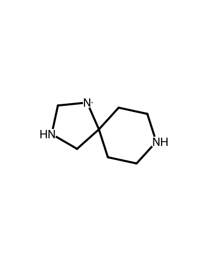 C1CC2(CCN1)CNC[N]2